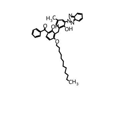 CCCCCCCCCCCCOc1ccc(C(=O)c2ccccc2)c(O)c1Cc1cc(C)cc(-n2nc3ccccc3n2)c1O